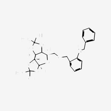 CC1(C)O[C@H]2[C@@H](O1)[C@@H](COCc1ccccc1NCc1ccccc1)O[C@@H]1OC(C)(C)O[C@@H]12